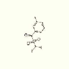 Cc1cccc(C(=O)S(=O)(=O)C(I)I)c1